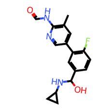 Cc1cc(-c2cc(C(O)NC3CC3)ccc2F)cnc1NC=O